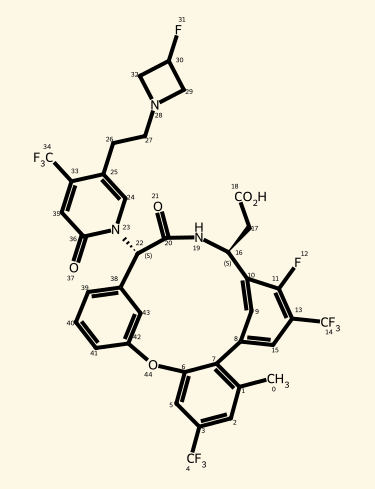 Cc1cc(C(F)(F)F)cc2c1-c1cc(c(F)c(C(F)(F)F)c1)[C@H](CC(=O)O)NC(=O)[C@@H](n1cc(CCN3CC(F)C3)c(C(F)(F)F)cc1=O)c1cccc(c1)O2